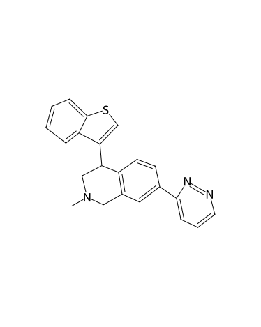 CN1Cc2cc(-c3cccnn3)ccc2C(c2csc3ccccc23)C1